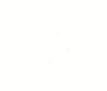 C1=CC2C=CC(n3c4ccccc4c4c3ccc3c5ccccc5n(C5=CC(c6cc7ccc8cccc9ccc(c6)c7c89)NC(c6cc7ccc8cccc9ccc(c6)c7c89)=C5)c34)=CC2C=C1